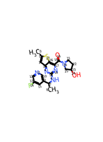 Cc1cc2nc(NC(C)c3cncc(F)c3)nc(C(=O)N3CCC(O)C3)c2s1